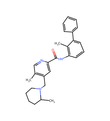 Cc1cnc(C(=O)Nc2cccc(-c3ccccc3)c2C)cc1CN1CCCCC1C